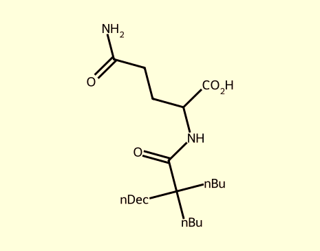 CCCCCCCCCCC(CCCC)(CCCC)C(=O)NC(CCC(N)=O)C(=O)O